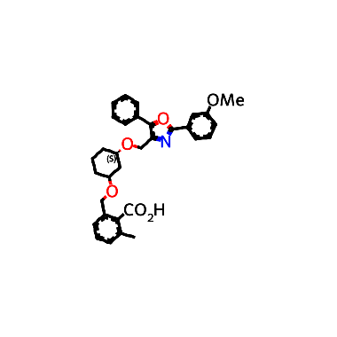 COc1cccc(-c2nc(CO[C@H]3CCCC(OCc4cccc(C)c4C(=O)O)C3)c(-c3ccccc3)o2)c1